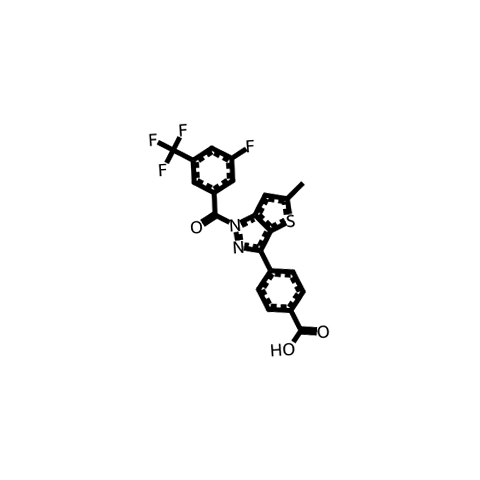 Cc1cc2c(s1)c(-c1ccc(C(=O)O)cc1)nn2C(=O)c1cc(F)cc(C(F)(F)F)c1